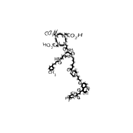 Cc1ccc(CCCC(=O)NCCSCC(NC(=O)CN2CCN(CC(=O)O)CCN(CC(=O)O)CCN(CC(=O)O)CC2)C(=O)NCCCCCC(=O)N2CCN(CCCOc3ccc4nccc(C(=O)CCC(=O)N5CC(F)(F)C[C@@H]5C#N)c4c3)CC2)cc1